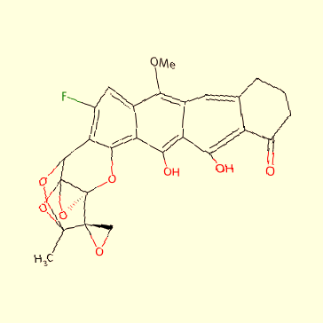 COc1c2cc3c(c(O)c2c(O)c2c4c(c(F)cc12)C1OC2(C)OC15O[C@]5(O4)[C@@]21CO1)C(=O)CCC3